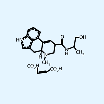 CC(CO)NC(=O)C1C=C2c3cccc4[nH]cc(c34)C[C@H]2N(C)C1.O=C(O)/C=C\C(=O)O